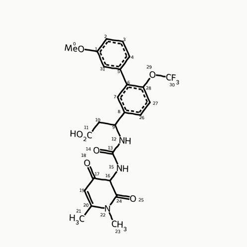 COc1cccc(-c2cc(C(CC(=O)O)NC(=O)NC3C(=O)C=C(C)N(C)C3=O)ccc2OC(F)(F)F)c1